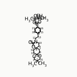 CC1(C)COC2(CCC3(CCN(CCc4ccc(B5OC(C)(C)C(C)(C)O5)cc4)C(=O)O3)CC2)OC1